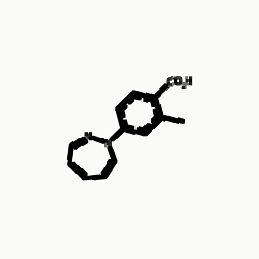 Cc1cc(N2C=CC=CC=N2)ccc1C(=O)O